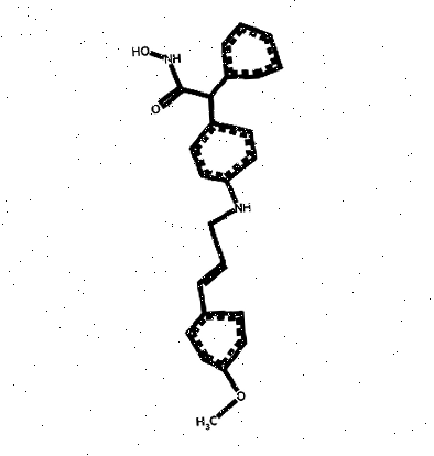 COc1ccc(/C=C/CNc2ccc(C(C(=O)NO)c3ccccc3)cc2)cc1